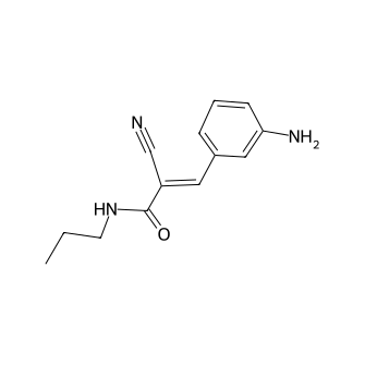 CCCNC(=O)/C(C#N)=C/c1cccc(N)c1